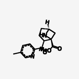 COC(=O)[C@@]12C[C@H](CCC1C(=O)c1ccc(C)cn1)N2